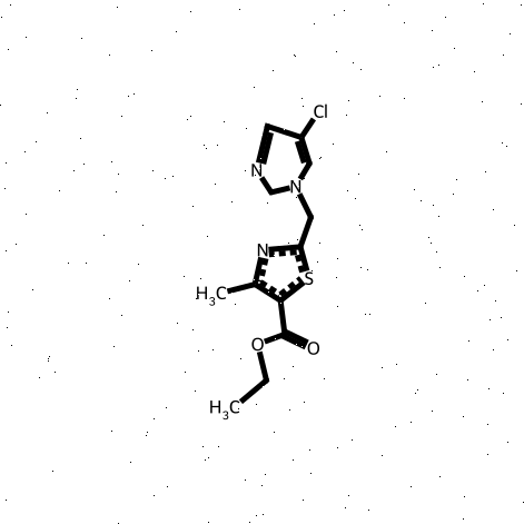 CCOC(=O)c1sc(CN2C=C(Cl)C=NC2)nc1C